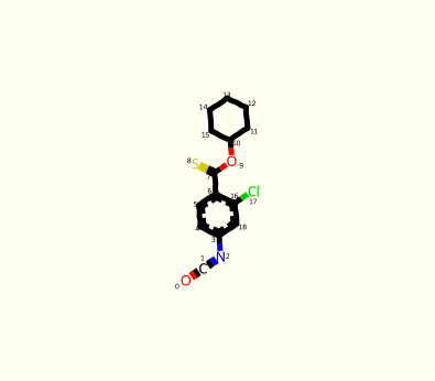 O=C=Nc1ccc(C(=S)OC2CCCCC2)c(Cl)c1